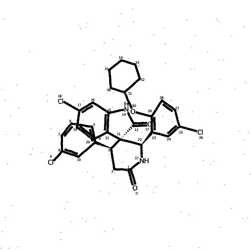 O=C1C[C@@H](c2cccc(Cl)c2)[C@]2(C(=O)Nc3cc(Cl)ccc32)[C@@H](c2cc(Cl)ccc2OC2CCCCC2)N1